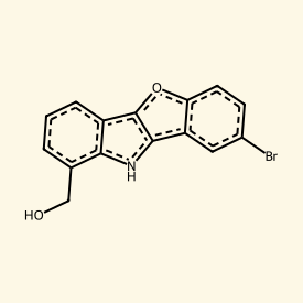 OCc1cccc2c1[nH]c1c3cc(Br)ccc3oc21